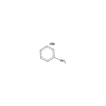 Br.Pc1ccccc1